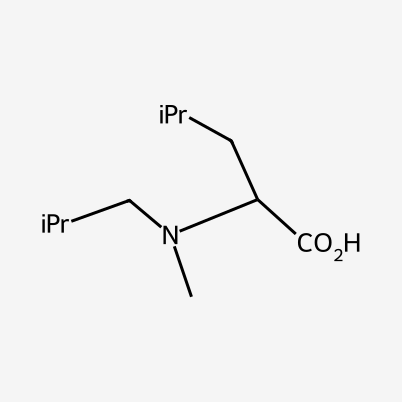 CC(C)CC(C(=O)O)N(C)CC(C)C